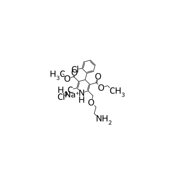 CCOC(=O)C1=C(COCCN)NC(C)=C(C(=O)OC)C1c1ccccc1Cl.[Cl-].[Na+]